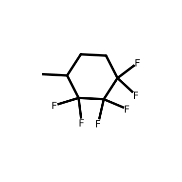 CC1CCC(F)(F)C(F)(F)C1(F)F